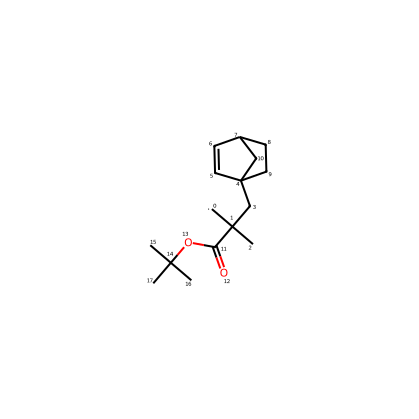 [CH2]C(C)(CC12C=CC(CC1)C2)C(=O)OC(C)(C)C